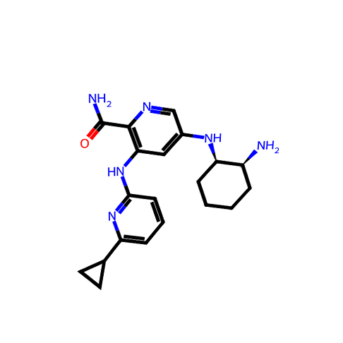 NC(=O)c1ncc(N[C@@H]2CCCC[C@@H]2N)cc1Nc1cccc(C2CC2)n1